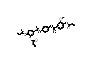 C=CC(=O)Oc1ccc(C(=O)Oc2ccc(OC(=O)c3ccc(OC(=O)C=C)c(OC(=O)C=C)c3)cc2)cc1OC